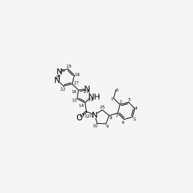 CCc1ccccc1C1CCN(C(=O)c2cc(-c3ccnnc3)n[nH]2)C1